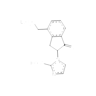 CCOC(=O)Cc1cccc2c1CC(n1ccnc1C(=O)O)C2=O